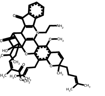 COC(=O)/C(C)=C\CC1(O)C(=O)C2CC(C(C)C)C13Oc1c(CC=C(C)C)c4c(c(OC)c1C1=C3C2C2=C(c3ccccc3C2=O)N1CCN)C=CC(C)(CCC=C(C)C)O4